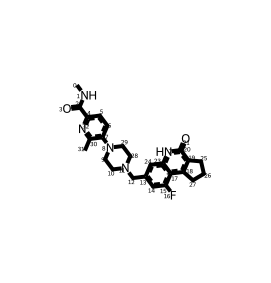 CNC(=O)c1ccc(N2CCN(Cc3cc(F)c4c5c(c(=O)[nH]c4c3)CCC5)CC2)c(C)n1